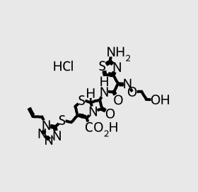 C=CCn1nnnc1SCC1=C(C(=O)O)N2C(=O)C(NC(=O)/C(=N\OCCO)c3csc(N)n3)[C@H]2SC1.Cl